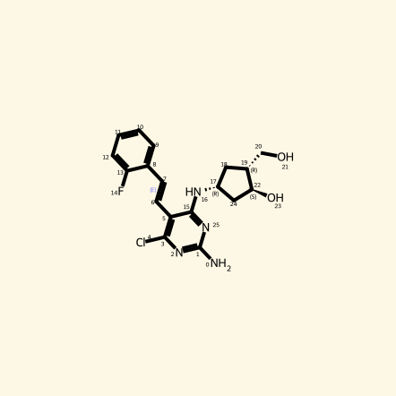 Nc1nc(Cl)c(/C=C/c2ccccc2F)c(N[C@@H]2C[C@H](CO)[C@@H](O)C2)n1